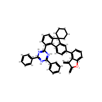 C=c1oc2cccc(-c3ccc4c(c3)C3(CCCCC3)c3cccc(-c5nc(-c6ccccc6)nc(-c6ccccc6)n5)c3-4)c2c1=C